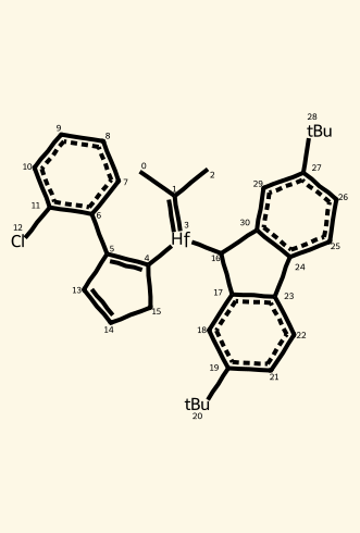 C[C](C)=[Hf]([C]1=C(c2ccccc2Cl)C=CC1)[CH]1c2cc(C(C)(C)C)ccc2-c2ccc(C(C)(C)C)cc21